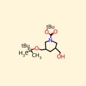 CC(C)(C)OC(=O)N1CC(CO)CC(CO[Si](C)(C)C(C)(C)C)C1